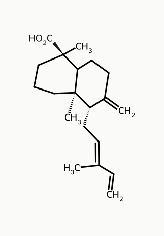 C=C/C(C)=C/C[C@H]1C(=C)CCC2[C@](C)(C(=O)O)CCC[C@@]21C